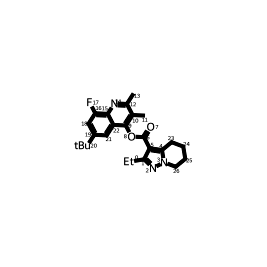 CCc1nn2c(c1C(=O)Oc1c(C)c(C)nc3c(F)cc(C(C)(C)C)cc13)CCCC2